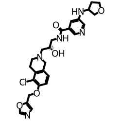 O=C(NC[C@H](O)CN1CCc2c(ccc(OCc3cnco3)c2Cl)C1)c1cncc(NC2CCOC2)c1